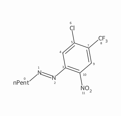 CCCCCN=Nc1cc(Cl)c(C(F)(F)F)cc1[N+](=O)[O-]